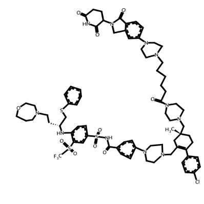 C[C@@]1(CN2CCN(C(=O)CCCCCN3CCN(c4ccc5c(c4)CN(C4CCC(=O)NC4=O)C5=O)CC3)CC2)CCC(c2ccc(Cl)cc2)=C(CN2CCN(c3ccc(C(=O)NS(=O)(=O)c4ccc(N[C@H](CCN5CCCOCC5)CSc5ccccc5)c(S(=O)(=O)C(F)(F)F)c4)cc3)CC2)C1